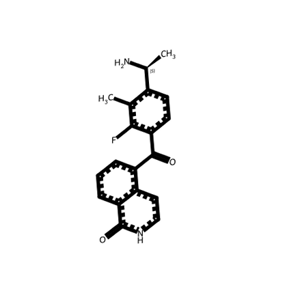 Cc1c([C@H](C)N)ccc(C(=O)c2cccc3c(=O)[nH]ccc23)c1F